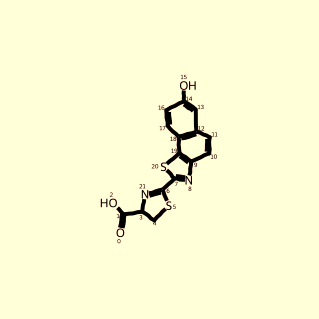 O=C(O)C1CSC(c2nc3ccc4cc(O)ccc4c3s2)=N1